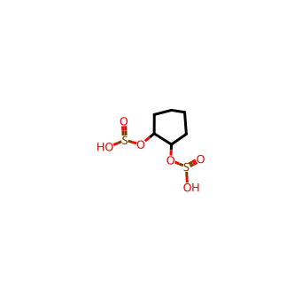 O=S(O)OC1CCCCC1OS(=O)O